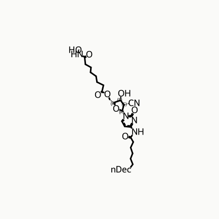 CCCCCCCCCCCCCCCC(=O)Nc1ccn([C@@H]2O[C@H](COC(=O)CCCCCCC(=O)NO)[C@@H](O)[C@@H]2C#N)c(=O)n1